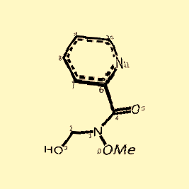 CON(CO)C(=O)c1ccccn1